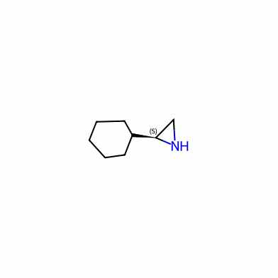 C1CCC([C@H]2CN2)CC1